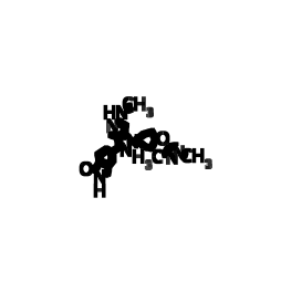 CCNc1cc2c(cn1)c(-c1ccc3c(c1)CNC3=O)nn2[C@H]1CC[C@@H](Oc2cn(C)nc2C)CC1